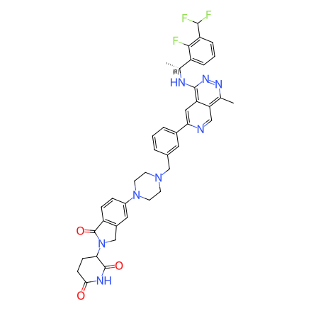 Cc1nnc(N[C@H](C)c2cccc(C(F)F)c2F)c2cc(-c3cccc(CN4CCN(c5ccc6c(c5)CN(C5CCC(=O)NC5=O)C6=O)CC4)c3)ncc12